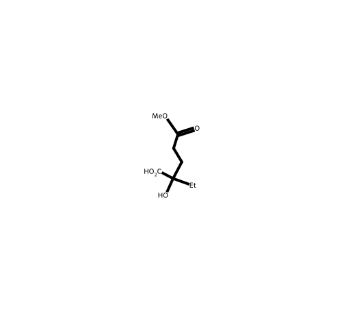 CCC(O)(CCC(=O)OC)C(=O)O